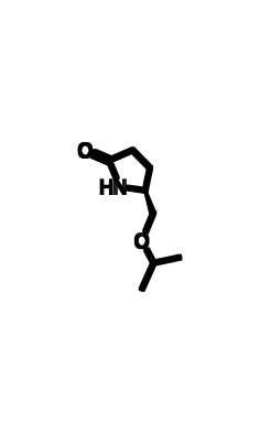 CC(C)OC[C@@H]1CCC(=O)N1